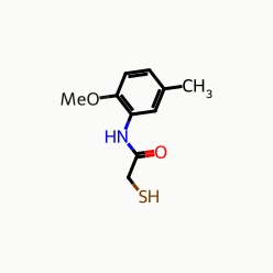 COc1ccc(C)cc1NC(=O)CS